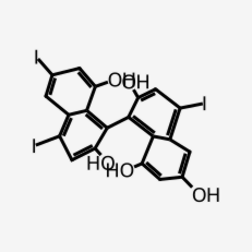 Oc1cc(O)c2c(-c3c(O)cc(I)c4cc(I)cc(O)c34)c(O)cc(I)c2c1